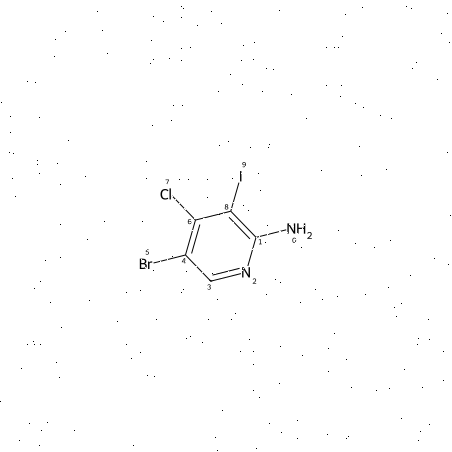 Nc1ncc(Br)c(Cl)c1I